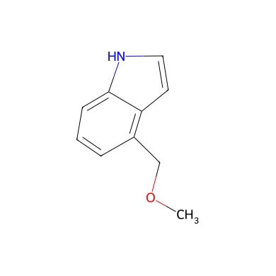 COCc1cccc2[nH]ccc12